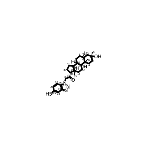 C[C@@]1(O)CC[C@@]2(C)[C@@H](CC[C@@H]3[C@@H]2CC[C@]2(C)[C@@H](C(=O)Cn4nnc5cc(S)ccc54)CC[C@@H]32)C1